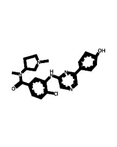 CN1CCC(N(C)C(=O)c2ccc(Cl)c(Nc3cncc(-c4ccc(O)cc4)n3)c2)C1